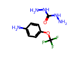 NNC(=O)NN.Nc1ccc(OC(F)(F)F)cc1